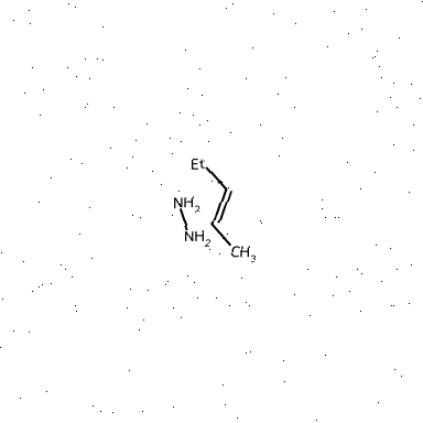 CC=CCC.NN